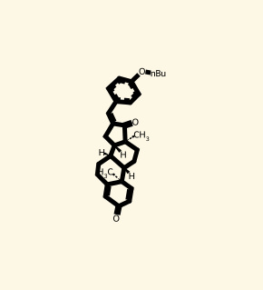 CCCCOc1ccc(C=C2C[C@H]3[C@@H]4CCC5=CC(=O)C=C[C@]5(C)[C@H]4CC[C@]3(C)C2=O)cc1